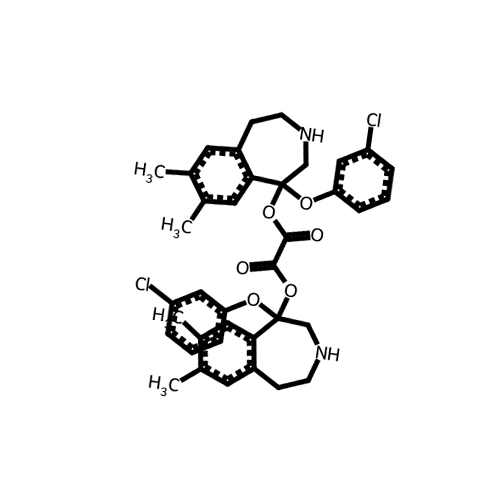 Cc1cc2c(cc1C)C(OC(=O)C(=O)OC1(Oc3cccc(Cl)c3)CNCCc3cc(C)c(C)cc31)(Oc1cccc(Cl)c1)CNCC2